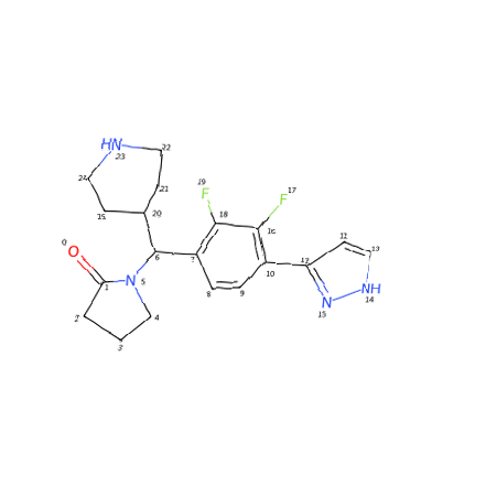 O=C1CCCN1C(c1ccc(-c2cc[nH]n2)c(F)c1F)C1CCNCC1